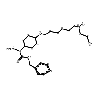 CCCCCN(C(=O)OCc1ccccc1)C1CCC(OCCCCCCN(CC)CCO)CC1